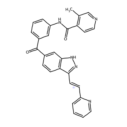 Cc1cnccc1C(=O)Nc1cccc(C(=O)c2ccc3c(/C=C/c4ccccn4)n[nH]c3c2)c1